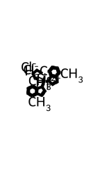 Cc1ccc(C)c2c1C=C[CH]2[Hf+2]([CH]1C=Cc2c(C)ccc(C)c21)=[Si]1CCCC1.[Cl-].[Cl-]